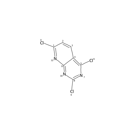 Clc1ccc2c(Cl)nc(Cl)nc2n1